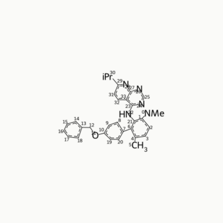 CNc1ccc(C)c(-c2ccc(OCc3ccccc3)cc2)c1Nc1ncnc2nc(C(C)C)ccc12